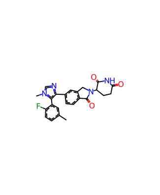 Cc1ccc(F)c(-c2c(-c3ccc4c(c3)CN(C3CCC(=O)NC3=O)C4=O)ncn2C)c1